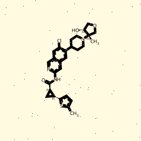 Cc1ccc([C@@H]2C[C@H]2C(=O)Nc2cc3cc(C4CCN([C@@]5(C)COC[C@H]5O)CC4)c(Cl)cc3cn2)s1